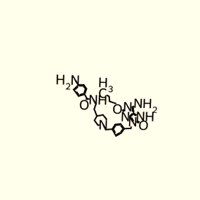 CCCCOc1nc(N)c2[nH]c(=O)n(Cc3ccc(CN4CCC(CCNC(=O)c5ccc(N)cc5)CC4)cc3)c2n1